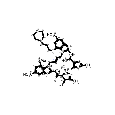 CCc1nc(C)sc1C(O)Nc1nc2cc(C(=O)O)cc(OCCCN3CCOCC3)c2n1C/C=C/Cn1c(NC(=O)C2C(F)C(C)=NN2CC)nc2cc(C(=O)O)cc(SC)c21